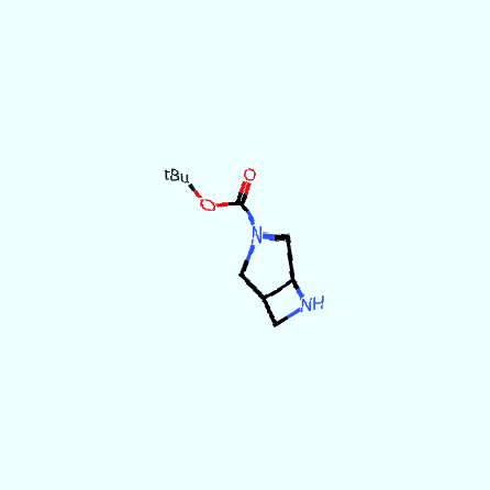 CC(C)(C)OC(=O)N1CC2CNC2C1